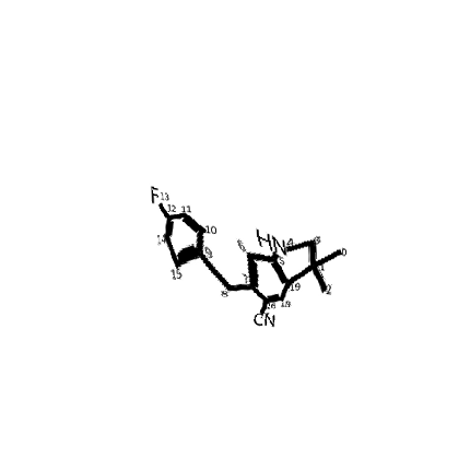 CC1(C)CNc2cc(Cc3ccc(F)cc3)c(C#N)cc21